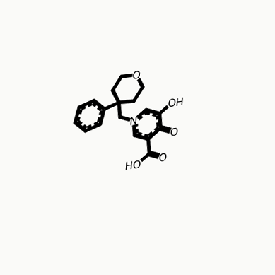 O=C(O)c1cn(CC2(c3ccccc3)CCOCC2)cc(O)c1=O